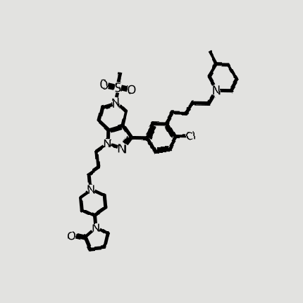 CC1CCCN(CCCCc2cc(-c3nn(CCCN4CCC(N5CCCC5=O)CC4)c4c3CN(S(C)(=O)=O)CC4)ccc2Cl)C1